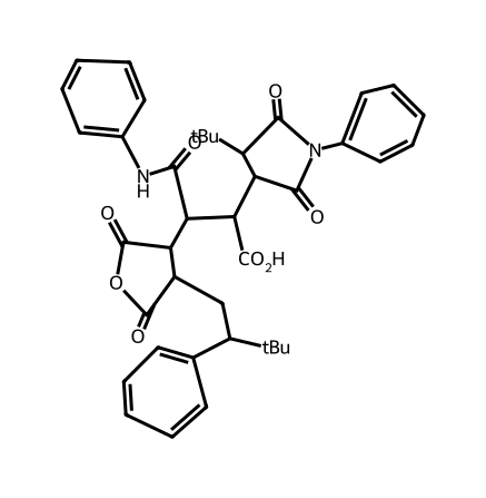 CC(C)(C)C(CC1C(=O)OC(=O)C1C(C(=O)Nc1ccccc1)C(C(=O)O)C1C(=O)N(c2ccccc2)C(=O)C1C(C)(C)C)c1ccccc1